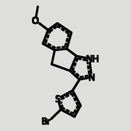 COc1ccc2c(c1)Cc1c(-c3ccc(Br)s3)n[nH]c1-2